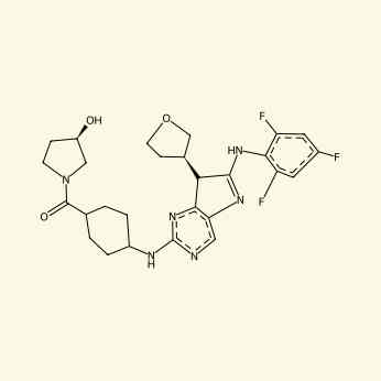 O=C(C1CCC(Nc2ncc3c(n2)C([C@H]2CCOC2)C(Nc2c(F)cc(F)cc2F)=N3)CC1)N1CC[C@@H](O)C1